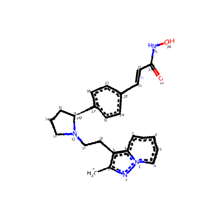 Cc1nn2ccccc2c1CCN1CCC[C@H]1c1ccc(/C=C/C(=O)NO)cc1